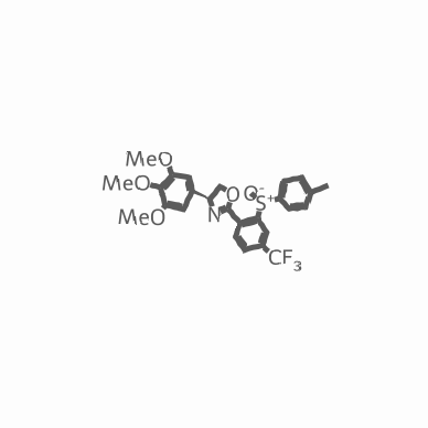 COc1cc([C@H]2COC(c3ccc(C(F)(F)F)cc3[S+]([O-])c3ccc(C)cc3)=N2)cc(OC)c1OC